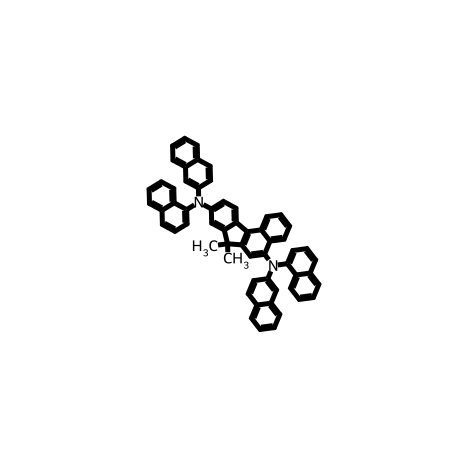 CC1(C)c2cc(N(c3ccc4ccccc4c3)c3cccc4ccccc34)ccc2-c2c1cc(N(c1ccc3ccccc3c1)c1cccc3ccccc13)c1ccccc21